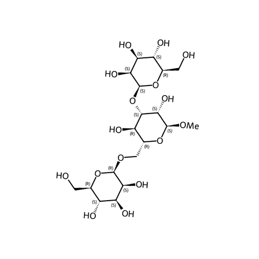 CO[C@H]1O[C@H](CO[C@@H]2O[C@H](CO)[C@@H](O)[C@H](O)[C@@H]2O)[C@@H](O)[C@H](O[C@@H]2O[C@H](CO)[C@@H](O)[C@H](O)[C@@H]2O)[C@@H]1O